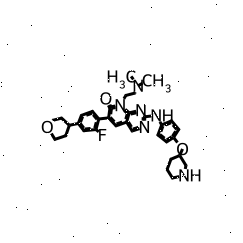 CN(C)CCn1c(=O)c(-c2ccc(C3CCOCC3)cc2F)cc2cnc(Nc3ccc(OC4CCCNC4)cc3)nc21